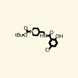 CC(C)(C)OC(=O)N1CCC(CNC(=O)c2cc(Cl)ccc2O)CC1